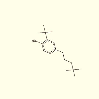 CC(C)(C)CCCc1ccc(O)c(C(C)(C)C)c1